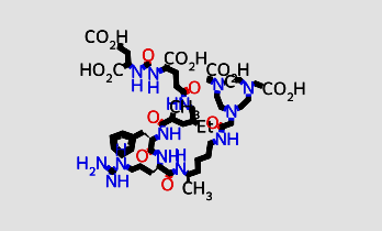 CCC(CNC(=O)CCC(NC(=O)NC(CCC(=O)O)C(=O)O)C(=O)O)CC(C)C(=O)N[C@@H](Cc1ccccc1)C(=O)N[C@@H](CCCNC(=N)N)C(=O)N[C@H](C)CCCCNC(=O)CN1CCN(CC(=O)O)CCN(CC(=O)O)CC1